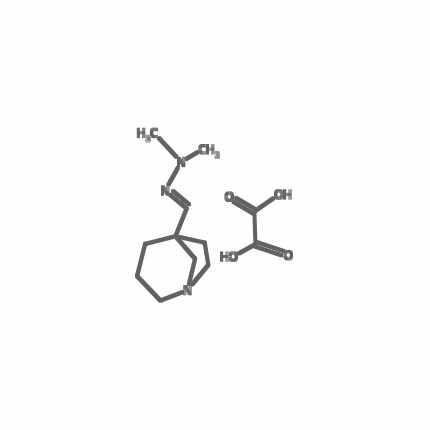 CN(C)N=CC12CCCN(CC1)C2.O=C(O)C(=O)O